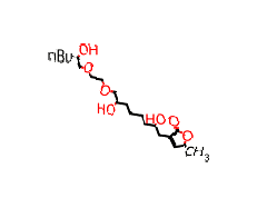 CCCC[C@H](O)COCCOC[C@@H](O)CCCC[C@@H](O)CC1=C[C@H](C)OC1=O